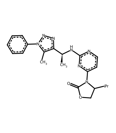 Cc1c([C@H](C)Nc2nccc(N3C(=O)OCC3C(C)C)n2)nnn1-c1ccccc1